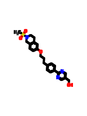 CS(=O)(=O)N1CCc2cc(OCCCc3ccc(-c4ncc(CO)cn4)cc3)ccc2C1